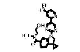 CCNc1ccnc(-c2cnc(N3CC4(CC4)c4ccc(C(=O)N(C)CCO)cc43)nc2)c1